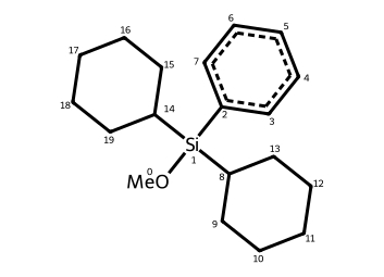 CO[Si](c1ccccc1)(C1CCCCC1)C1CCCCC1